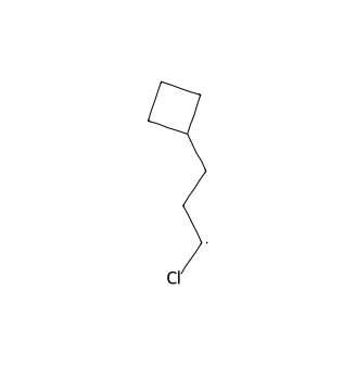 Cl[CH]CCC1CCC1